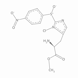 COC(=O)[C@@H](N)Cc1cnc([S+]([O-])c2ccc([N+](=O)[O-])cc2)n1Cl